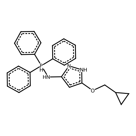 c1ccc([PH](Nc2cc(OCC3CC3)[nH]n2)(c2ccccc2)c2ccccc2)cc1